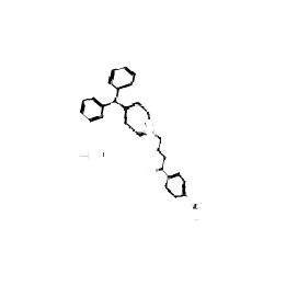 CCOc1ccc(C(=O)CCCN2CCC(C(c3ccccc3)c3ccccc3)CC2)cc1.Cl